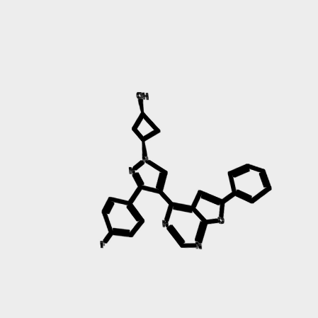 O[C@H]1C[C@@H](n2cc(-c3ncnc4oc(-c5ccccc5)cc34)c(-c3ccc(F)cc3)n2)C1